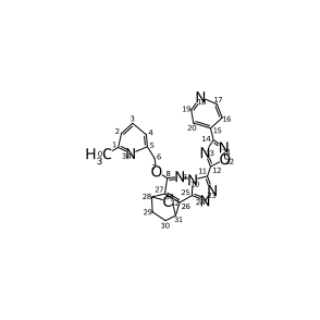 Cc1cccc(COc2nn3c(-c4nc(-c5ccncc5)no4)nnc3c3c2C2CCC3CC2)n1